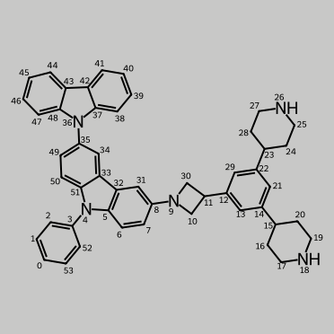 c1ccc(-n2c3ccc(N4CC(c5cc(C6CCNCC6)cc(C6CCNCC6)c5)C4)cc3c3cc(-n4c5ccccc5c5ccccc54)ccc32)cc1